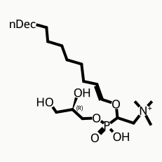 CCCCCCCCCCCCCCCCC=COC(C[N+](C)(C)C)P(=O)(O)OC[C@H](O)CO